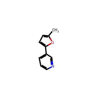 Cc1ccc(-c2cccnc2)o1